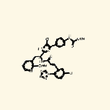 COC(=O)Nc1ccc(-c2nc([C@H](Cc3cccnc3OC)NC(=O)C=Cc3cc(Cl)ccc3-n3cnnn3)[nH]c2Cl)cc1